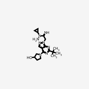 CC(C)(C)c1nc(N2CCC(O)C2)c2cnn(CC(=N)N(N)C3CC3)c2n1